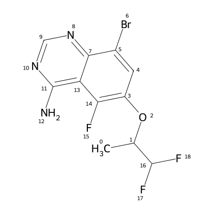 CC(Oc1cc(Br)c2ncnc(N)c2c1F)C(F)F